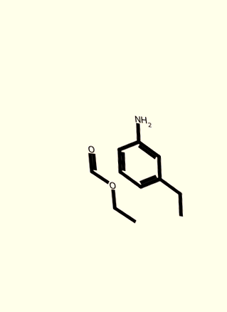 CCOC=O.CCc1cccc(N)c1